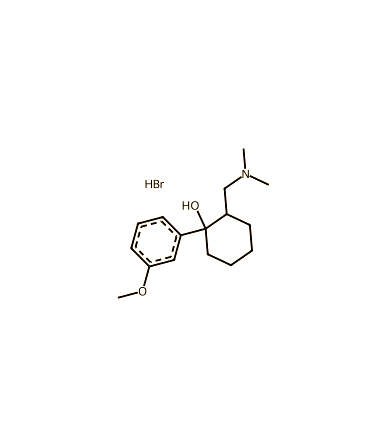 Br.COc1cccc(C2(O)CCCCC2CN(C)C)c1